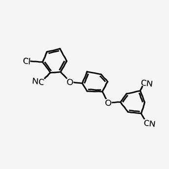 N#Cc1cc(C#N)cc(Oc2cccc(Oc3cccc(Cl)c3C#N)c2)c1